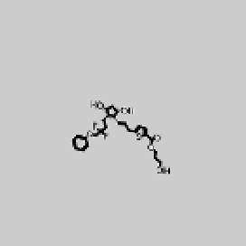 O=C(OCCCO)c1ccc(CCC[C@@H]2[C@@H](CCC(F)(F)COc3ccccc3)[C@H](O)C[C@@H]2O)s1